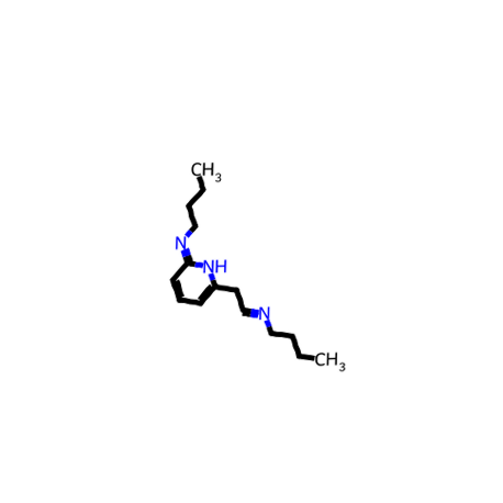 CCCCN=CCc1cccc(=NCCCC)[nH]1